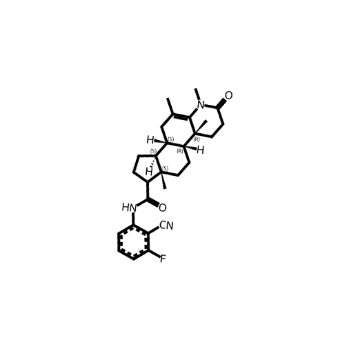 CC1=C2N(C)C(=O)CC[C@]2(C)[C@@H]2CC[C@]3(C)C(C(=O)Nc4cccc(F)c4C#N)CC[C@H]3[C@@H]2C1